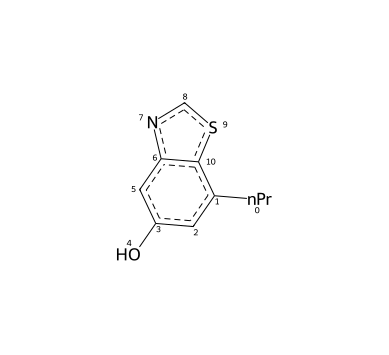 CCCc1cc(O)cc2ncsc12